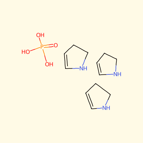 C1=CNCC1.C1=CNCC1.C1=CNCC1.O=P(O)(O)O